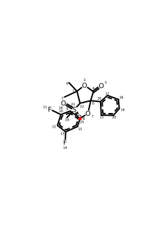 CC1(C)OC(=O)C(Oc2cc(F)cc(F)c2)(c2ccccc2)C1S(C)(=O)=O